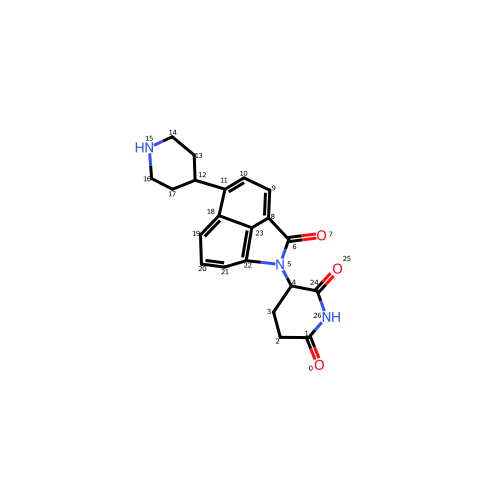 O=C1CCC(N2C(=O)c3ccc(C4CCNCC4)c4cccc2c34)C(=O)N1